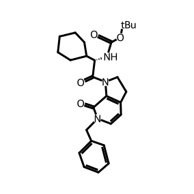 CC(C)(C)OC(=O)N[C@H](C(=O)N1CCc2ccn(Cc3ccccc3)c(=O)c21)C1CCCCC1